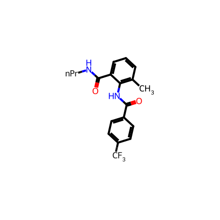 CCCNC(=O)c1cccc(C)c1NC(=O)c1ccc(C(F)(F)F)cc1